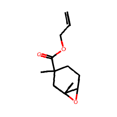 C=CCOC(=O)C1(C)CCC2OC2(C)C1